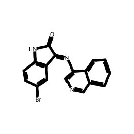 O=C1Nc2ccc(Br)cc2/C1=N\c1cncc2ccccc12